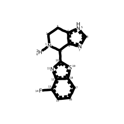 [2H]N1CCc2[nH]cnc2C1c1nc2c(F)cccc2s1